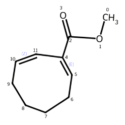 COC(=O)C1=C/CCCC/C=C\1